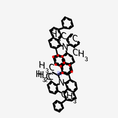 C=C/C(=c1/ccc2ccc(N(c3c(C)cccc3C)c3c(-c4ccccc4)ccc4ccc(-c5ccccc5)cc34)c3ccc(C)c1c23)N(c1c(C)cccc1C)c1c(-c2ccccc2)ccc2ccc(-c3ccccc3)cc12